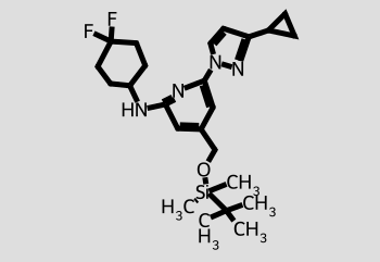 CC(C)(C)[Si](C)(C)OCc1cc(NC2CCC(F)(F)CC2)nc(-n2ccc(C3CC3)n2)c1